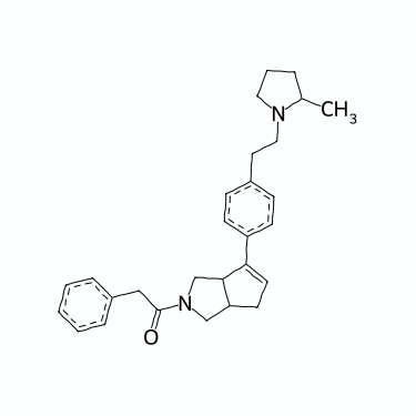 CC1CCCN1CCc1ccc(C2=CCC3CN(C(=O)Cc4ccccc4)CC23)cc1